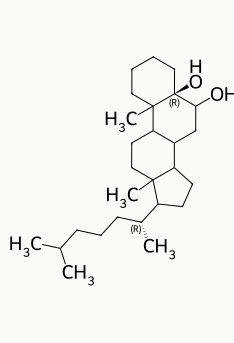 CC(C)CCC[C@@H](C)C1CCC2C3CC(O)[C@@]4(O)CCCCC4(C)C3CCC21C